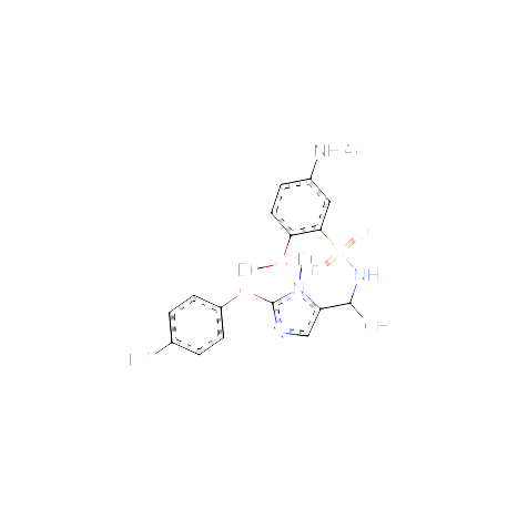 CCOc1ccc(NC(C)=O)cc1S(=O)(=O)NC(C)c1cnc(Oc2ccc(C)cc2)n1CC